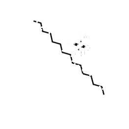 CCCCCCCCCCCCCCC.O=S(=O)(O)O